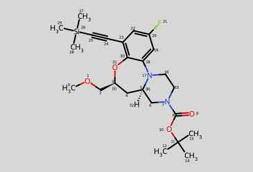 COC[C@@H]1C[C@@H]2CN(C(=O)OC(C)(C)C)CCN2c2cc(F)cc(C#C[Si](C)(C)C)c2O1